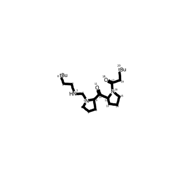 CC(C)(C)CCNCN1CCCC1C(=O)C1CCCN1C(=O)CC(C)(C)C